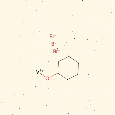 [Br-].[Br-].[Br-].[V+3][O]C1CCCCC1